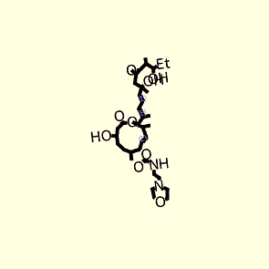 CCC(O)C(C)C1OC1CC(C)(O)/C=C/C=C(\C)C1OC(=O)CC(O)CCC(C)C(OC(=O)NCCN2CCOCC2)/C=C/C1C